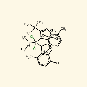 Cc1ccc(C)c2c1C=C([Si](C)(C)C)[CH]2[Ti]([Cl])([Cl])([CH]1C([Si](C)(C)C)=Cc2c(C)ccc(C)c21)[SiH](C)C